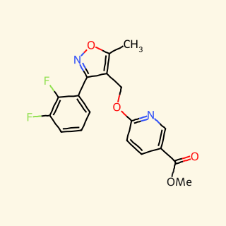 COC(=O)c1ccc(OCc2c(-c3cccc(F)c3F)noc2C)nc1